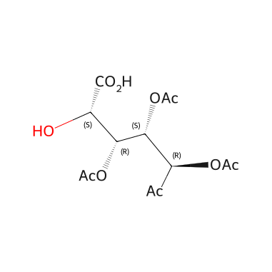 CC(=O)O[C@@H]([C@H](OC(C)=O)[C@@H](OC(C)=O)C(C)=O)[C@H](O)C(=O)O